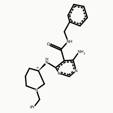 C[C](C)CN1CCC[C@@H](Nc2ncnc(N)c2C(=O)NCc2ccccc2)C1